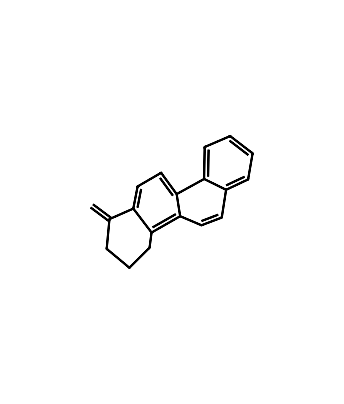 C=C1CCCc2c1ccc1c2ccc2ccccc21